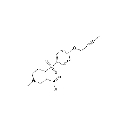 CC#CCOc1ccc(S(=O)(=O)N2CCN(C)CC2C(=O)O)cc1